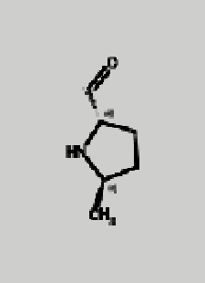 C[C@@H]1CC[C@@H]([C]=O)N1